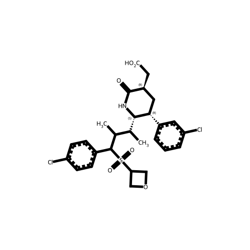 CC(C(C)[C@@H]1NC(=O)[C@@H](CC(=O)O)C[C@@H]1c1cccc(Cl)c1)C(c1ccc(Cl)cc1)S(=O)(=O)C1COC1